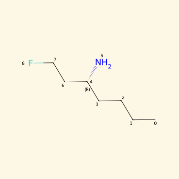 CCCC[C@@H](N)CCF